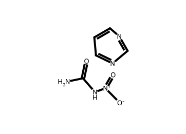 NC(=O)N[N+](=O)[O-].c1cncnc1